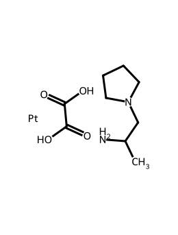 CC(N)CN1CCCC1.O=C(O)C(=O)O.[Pt]